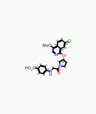 COc1cnc(O[C@@H]2CCN(C(=O)CNc3ccc(C(=O)O)cc3)C2)c2cc(Cl)ccc12